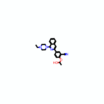 CCN1CCN(c2nc(-c3ccc(OC(C)O)c(C#N)c3)cc3ccccc23)CC1